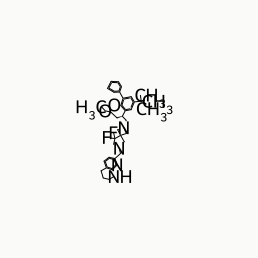 COC(=O)C[C@H](CN1CC2(CN(Cc3ccc4c(n3)NCCC4)CC2(F)F)C1)c1cc(-c2ccccc2)cc(C(C)(C)C)c1